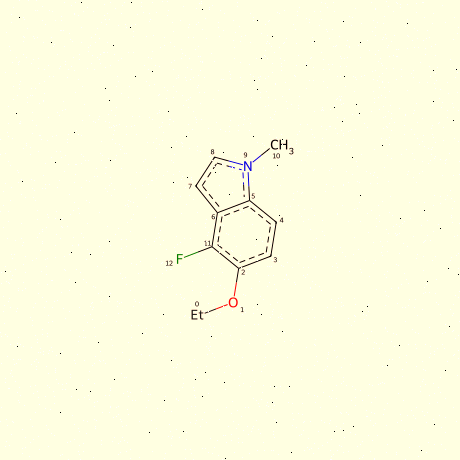 CCOc1ccc2c(ccn2C)c1F